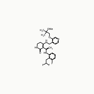 C=C(Nc1cccc(F)c1CC(F)F)C1=C(NCc2ccncc2OCC(C)(C)OC)CCNC1=O